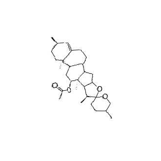 CC(=O)O[C@H]1CC2C(CCC3=C[C@H](C)CC[C@@]32C)C2CC3OC4(CCC(C)CO4)[C@@H](C)C3[C@]21C